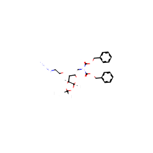 CC1(C)O[C@H]2O[C@H](CN(C(=O)OCc3ccccc3)C(=O)OCc3ccccc3)[C@@H](OCCN=[N+]=[N-])[C@H]2O1